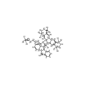 CN1c2ccccc2C2C1C1C=CC=CC1C2[Si](C)(CCCCCCOC(C)(C)C)C1C2C=C3C(=CC2C2C=C4C(=CC21)C(C)(C)CCC4(C)C)C(C)(C)CCC3(C)C